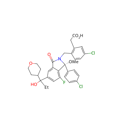 CCC(O)(c1cc(F)c2c(c1)C(=O)N(Cc1ccc(Cl)cc1CC(=O)O)[C@@]2(OC)c1ccc(Cl)cc1)C1CCOCC1